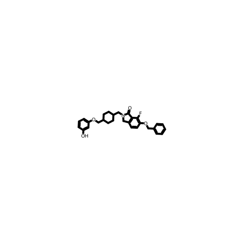 O=C1c2c(ccc(OCc3ccccc3)c2F)CN1CC1CCC(COc2cccc(O)c2)CC1